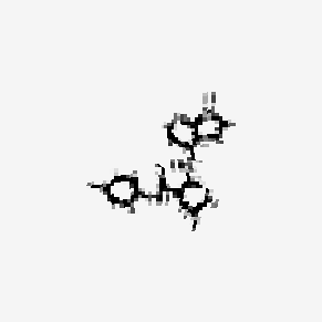 Cc1ccc(NC(=O)c2cc(F)cnc2NCc2ccnc3[nH]ccc23)cc1